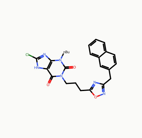 CCCCn1c(=O)n(CCCc2nc(Cc3ccc4ccccc4c3)no2)c(=O)c2[nH]c(Cl)nc21